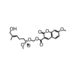 COc1ccc2cc(C(=O)OCOP(=O)(CC/C=C(\C)CO)OC)c(=O)oc2c1